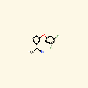 CC(C#N)c1cccc(Oc2cc(Cl)cc(Cl)c2)c1